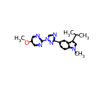 COc1cnc(-n2cnc(-c3ccc4c(c3)c(C(C)C)cn4C)n2)nc1